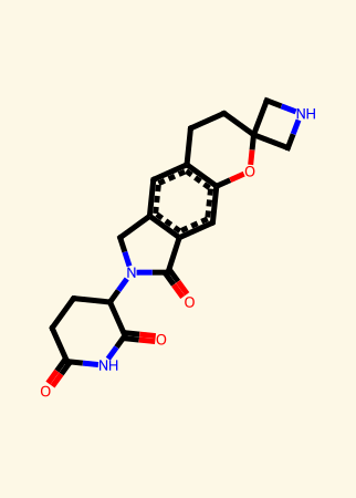 O=C1CCC(N2Cc3cc4c(cc3C2=O)OC2(CC4)CNC2)C(=O)N1